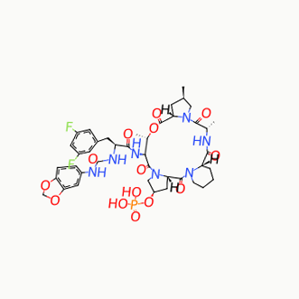 C[C@@H]1C[C@H]2C(=O)O[C@@H](C)[C@H](NC(=O)[C@H](Cc3cc(F)cc(F)c3)NC(=O)Nc3ccc4c(c3)OCO4)C(=O)N3C[C@H](OP(=O)(O)O)C[C@H]3C(=O)N3CCCC[C@H]3C(=O)N[C@@H](C)C(=O)N2C1